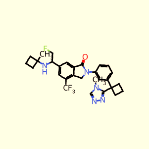 Cn1cnnc1C1(c2cccc(N3Cc4c(cc(C(CF)NC5(C)CCC5)cc4C(F)(F)F)C3=O)c2)CCC1